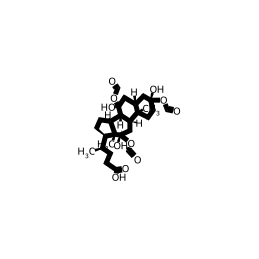 C[C@H](CCC(=O)O)[C@H]1CC[C@H]2[C@H]3[C@H](C[C@](O)(OC=O)[C@]12C)[C@@]1(C)CC[C@@](O)(OC=O)C[C@H]1C[C@@]3(O)OC=O